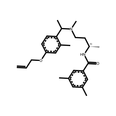 C=CCOc1ccc(C(C)N(C)CC[C@H](C)NC(=O)c2cc(C)cc(C)c2)c(C)c1